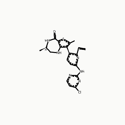 C=Cc1nc(Nc2nccc(Cl)n2)ccc1-c1c(C)sc2c1NC[C@@H](C)NC2=O